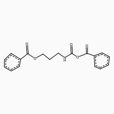 O=C(NCCCOC(=O)c1ccccc1)OC(=O)c1ccccc1